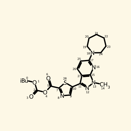 CCC(C)OC(=O)OC(=O)c1ncc(-c2nn(C)c3nc(N4CCCCCC4)ccc23)s1